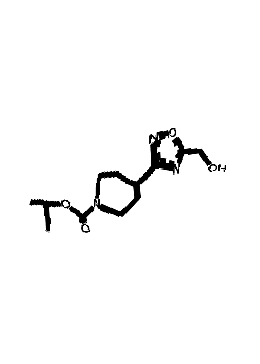 CC(C)OC(=O)N1CCC(c2noc(CO)n2)CC1